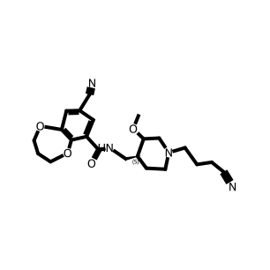 COC1CN(CCCC#N)CC[C@H]1CNC(=O)c1cc(C#N)cc2c1OCCCO2